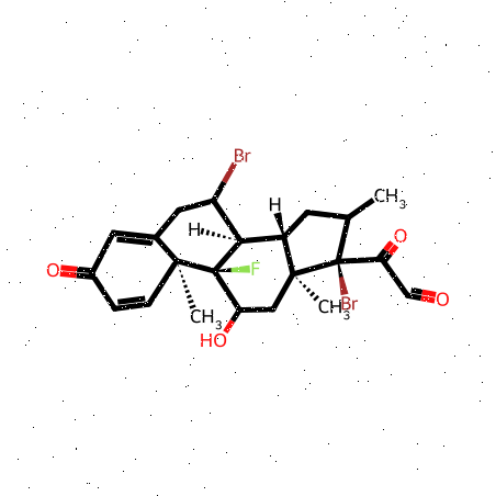 CC1C[C@H]2[C@@H]3C(Br)CC4=CC(=O)C=C[C@]4(C)[C@@]3(F)C(O)C[C@]2(C)[C@@]1(Br)C(=O)C=O